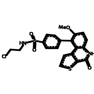 COc1ccc2[nH]c(=O)c3sccc3c2c1-c1ccc(S(=O)(=O)NCCCl)cc1